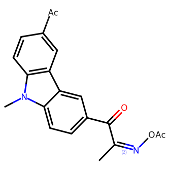 CC(=O)O/N=C(/C)C(=O)c1ccc2c(c1)c1cc(C(C)=O)ccc1n2C